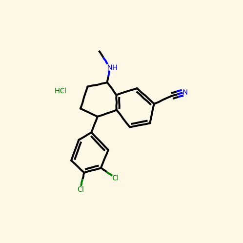 CNC1CCC(c2ccc(Cl)c(Cl)c2)c2ccc(C#N)cc21.Cl